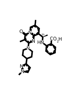 Cc1cc([C@@H](C)Nc2ccccc2C(=O)O)c2nc(N3CCC(c4ccn(C)n4)CC3)c(C)c(=O)n2c1